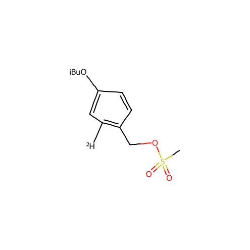 [2H]c1cc(OCC(C)C)ccc1COS(C)(=O)=O